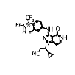 CC(C)N[C@@H](c1ccc(Nc2nn(C(CC#N)C3CC3)c3cc[nH]c(=O)c23)cc1F)C(F)(F)F